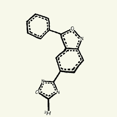 [2H]c1nc(-c2ccc3noc(-c4ccccc4)c3c2)no1